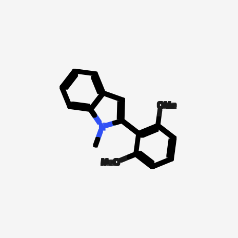 COc1cccc(OC)c1-c1cc2ccccc2n1C